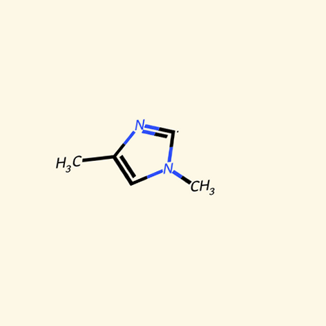 Cc1cn(C)[c]n1